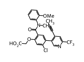 CC#Cc1cc(C(F)(F)F)ncc1-c1cc(C(=O)N(C)c2ccccc2OC)c(OCC(=O)O)cc1Cl